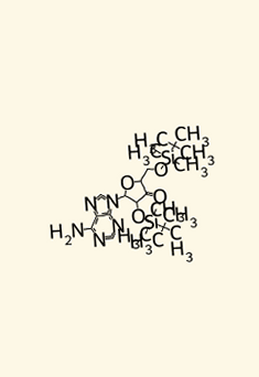 CC(C)(C)[Si](C)(C)OCC1OC(n2cnc3c(N)ncnc32)C(O[Si](C)(C)C(C)(C)C)C1=O